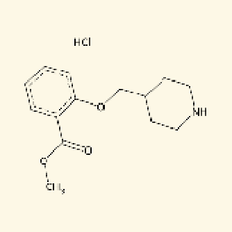 COC(=O)c1ccccc1OCC1CCNCC1.Cl